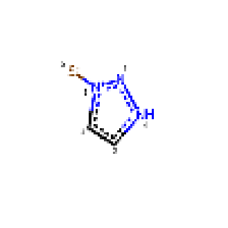 [S-][n+]1cc[nH]n1